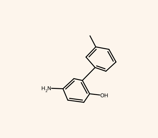 Cc1cccc(-c2cc(N)ccc2O)c1